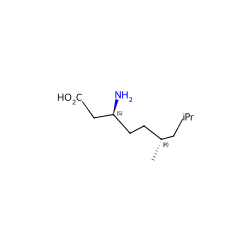 CC(C)C[C@H](C)CC[C@H](N)CC(=O)O